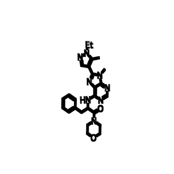 CCn1ncc(-c2nc3c(NC(Cc4ccccc4)C(=O)N4CCOCC4)ncnc3n2C)c1C